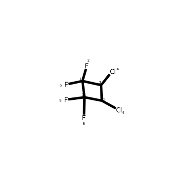 FC1(F)C(Cl)C(Cl)C1(F)F